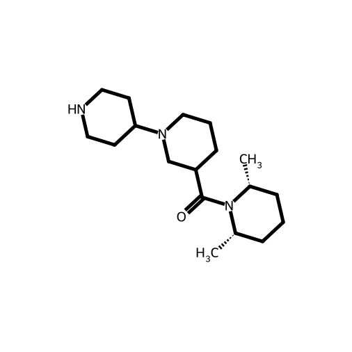 C[C@@H]1CCC[C@H](C)N1C(=O)C1CCCN(C2CCNCC2)C1